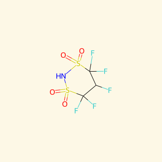 O=S1(=O)NS(=O)(=O)C(F)(F)C(F)C1(F)F